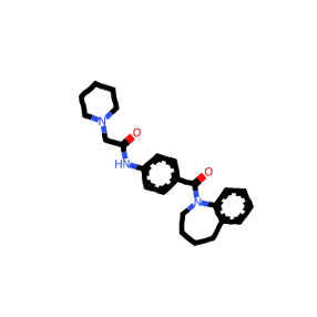 O=C(CN1CCCCC1)Nc1ccc(C(=O)N2CCCCc3ccccc32)cc1